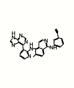 C#Cc1cccc(Nc2nccc3c(Nc4ncccc4-c4ncnc5[nH]cnc45)c(C)ccc23)c1